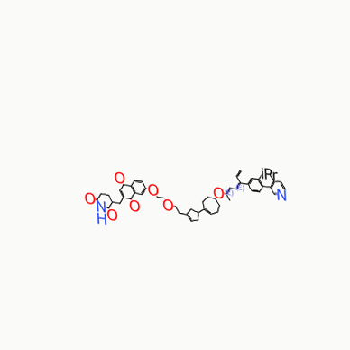 C=C/C(=C\C=C(/C)OC1CCC=C(C2CC=C(CCOCCOc3ccc4c(c3)C(=O)C(CC3CCC(=O)NC3=O)=CC4=O)C2)CC1)c1ccc(-c2cnccc2C)c(C(C)C)c1